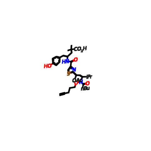 C#CCCCON(C(=O)CCCC)C(CC(OC(C)=O)c1nc(C(=O)NC(Cc2ccc(O)cc2)CC(C)(C)C(=O)O)cs1)C(C)C